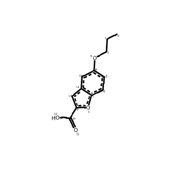 CCCOc1ccc2oc(C(=O)O)cc2c1